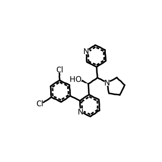 O[C@H](c1cccnc1-c1cc(Cl)cc(Cl)c1)C(c1cccnc1)N1CCCC1